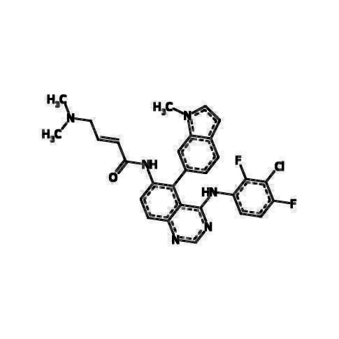 CN(C)C/C=C/C(=O)Nc1ccc2ncnc(Nc3ccc(F)c(Cl)c3F)c2c1-c1ccc2ccn(C)c2c1